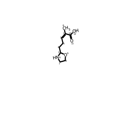 CC(=CCCC1NCCO1)C(=O)O